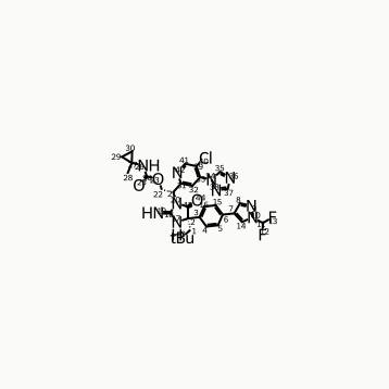 CC(C)(C)C[C@]1(c2ccc(-c3cnn(C(F)F)c3)cc2)NC(=N)N([C@H](COC(=O)NC2(C)CC2)c2cc(-n3cncn3)c(Cl)cn2)C1=O